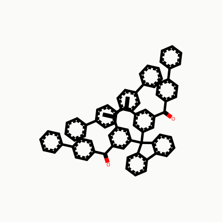 C=C(c1ccc(-c2ccccc2)cc1)c1cc(C(=O)c2ccc(-c3ccccc3)cc2)cc(C2(c3cc(C(=C)c4ccc(-c5ccccc5)cc4)cc(C(=O)c4ccc(-c5ccccc5)cc4)c3)c3ccccc3-c3ccccc32)c1